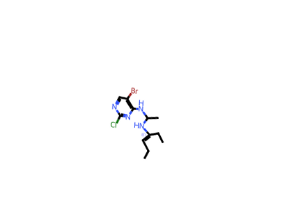 CC/C=C(\CC)NC(C)Nc1nc(Cl)ncc1Br